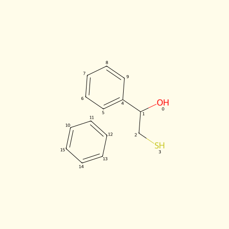 OC(CS)c1ccccc1.c1ccccc1